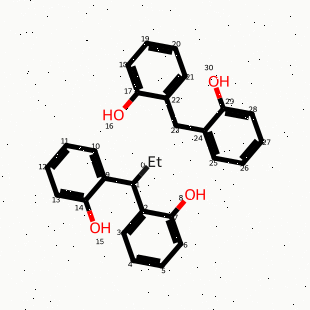 CCC(c1ccccc1O)c1ccccc1O.Oc1ccccc1Cc1ccccc1O